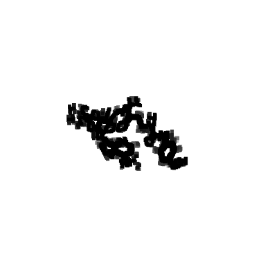 CCN(C[C@H]1O[C@@H](n2cnc3c(N)ccnc32)[C@@H]2OC(C)(C)O[C@@H]21)C(=O)CCNC(=O)Nc1ccc(C(C)(C)C)cc1